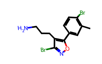 Cc1cc(-c2onc(Br)c2CCCN)ccc1Br